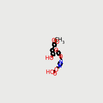 CS(=O)(=O)c1ccc(-c2ccc3cc(O)ccc3c2Oc2ccc(OCCN3CCN(CCOCC(=O)O)CC3)cc2)cc1